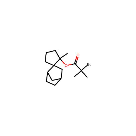 CCC(C)(C)C(=O)OC1(C)CCCC12CC1CCC2C1